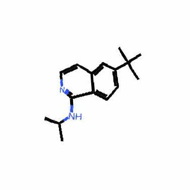 CC(C)Nc1nccc2cc(C(C)(C)C)ccc12